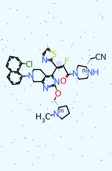 CN1CCC[C@H]1COc1nc2c(c(/C(=C(/F)C(=O)N3CCN[C@@H](CC#N)C3)c3nccs3)n1)CCN(c1cccc3cccc(Cl)c13)C2